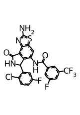 Nc1nc2c3c(c(NC(=O)c4cc(F)cc(C(F)(F)F)c4)cc2s1)C(c1cc(F)ccc1Cl)NC3=O